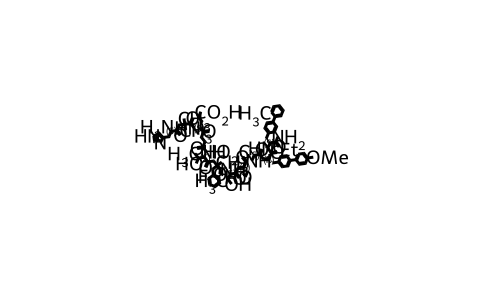 CCc1cc(OC)ccc1-c1ccc(C[C@H](CC(=O)[C@H](CC(=O)O)NC(=O)[C@H](CO)CC(=O)[C@@H](NC(=O)C(C)(CC(=O)[C@@H](NC(=O)CCC(=O)[C@H](CCC(=O)O)NC(=O)C(C)(C)CC(=O)[C@@H](N)Cc2c[nH]cn2)C(C)O)Cc2ccccc2F)C(C)O)C(=O)N[C@@H](Cc2ccc(-c3ccccc3C)cc2)C(N)=O)cc1